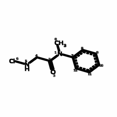 CN(C(=O)CNCl)c1ccccc1